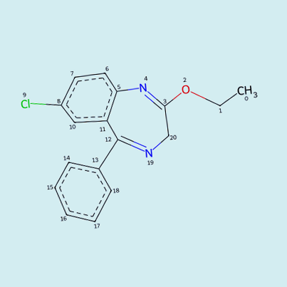 CCOC1=Nc2ccc(Cl)cc2C(c2ccccc2)=NC1